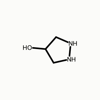 OC1CNNC1